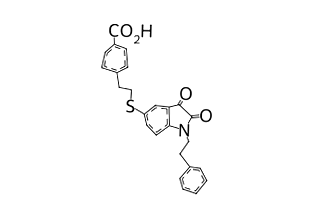 O=C(O)c1ccc(CCSc2ccc3c(c2)C(=O)C(=O)N3CCc2ccccc2)cc1